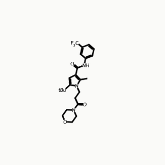 Cc1c(C(=O)Nc2cccc(C(F)(F)F)c2)cc(C(C)(C)C)n1CCC(=O)N1CCOCC1